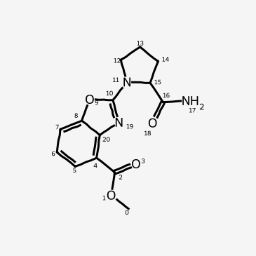 COC(=O)c1cccc2oc(N3CCCC3C(N)=O)nc12